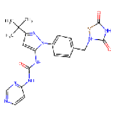 CC(C)(C)c1cc(NC(=O)Nc2ccncn2)n(-c2ccc(Cn3sc(=O)[nH]c3=O)cc2)n1